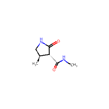 CNC(=O)[C@H]1C(=O)NC[C@@H]1C